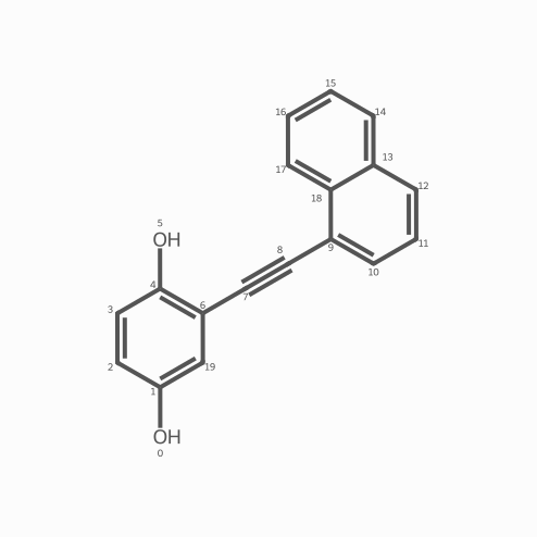 Oc1ccc(O)c(C#Cc2cccc3ccccc23)c1